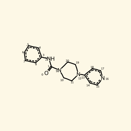 O=C(Nc1c[c]ccc1)N1CCN(c2ccncc2)CC1